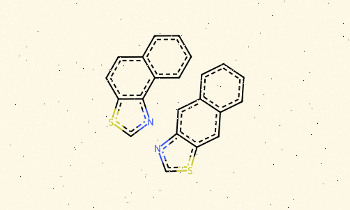 c1ccc2c(c1)ccc1scnc12.c1ccc2cc3scnc3cc2c1